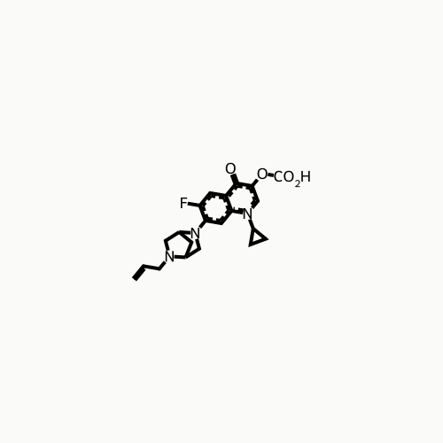 C=CCN1CC2CC1CN2c1cc2c(cc1F)c(=O)c(OC(=O)O)cn2C1CC1